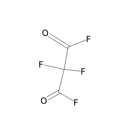 O=C(F)C(F)(F)C(=O)F